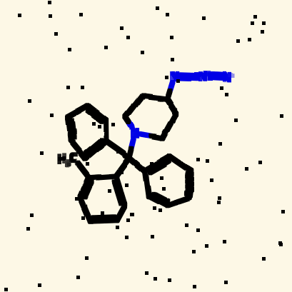 Cc1ccccc1C(c1ccccc1)(c1ccccc1)N1CCC(N=[N+]=[N-])CC1